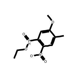 CCO[PH](=O)c1cc(OC)c(C)cc1[N+](=O)[O-]